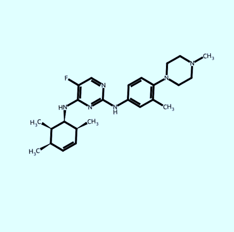 Cc1cc(Nc2ncc(F)c(N[C@@H]3[C@H](C)[C@H](C)C=C[C@@H]3C)n2)ccc1N1CCN(C)CC1